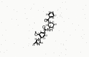 COc1cc(C(=O)NC2CCCN(C(=O)c3ccccc3)C2)ccc1-n1cnc(C)c1